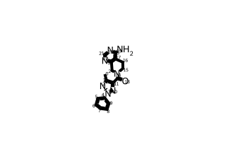 Cc1nn(-c2ccccc2)nc1C(=O)N1CCc2c(N)ncnc2C1